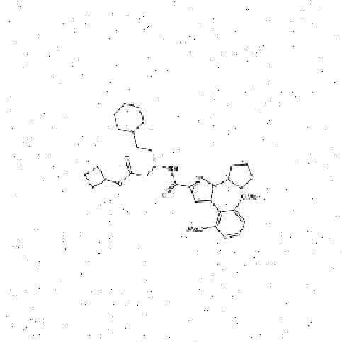 COc1cccc(OC)c1-c1cc(C(=O)N[C@@H](CCN2CCCCC2)CC(=O)OC2CCC2)nn1C1CCCC1